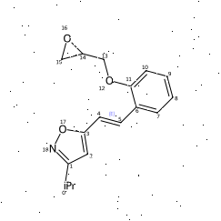 CC(C)c1cc(/C=C/c2ccccc2OCC2CO2)on1